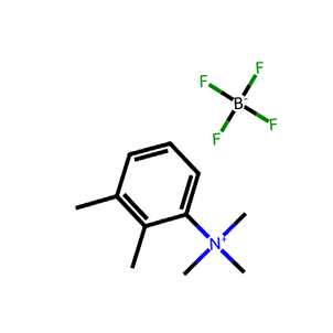 Cc1cccc([N+](C)(C)C)c1C.F[B-](F)(F)F